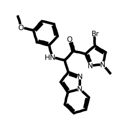 COc1cccc(NC(C(=O)c2nn(C)cc2Br)c2cc3ccccn3n2)c1